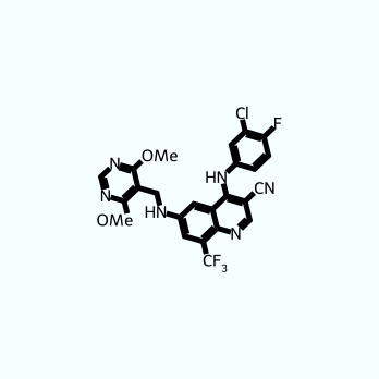 COc1ncnc(OC)c1CNc1cc(C(F)(F)F)c2ncc(C#N)c(Nc3ccc(F)c(Cl)c3)c2c1